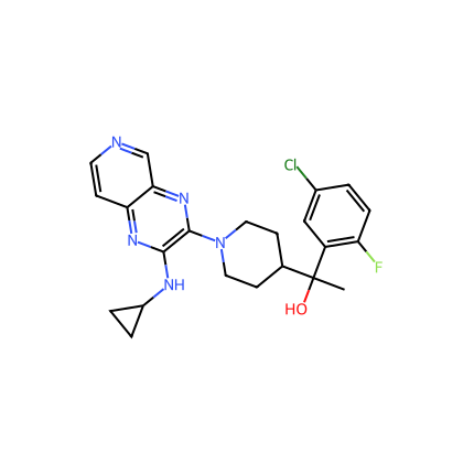 CC(O)(c1cc(Cl)ccc1F)C1CCN(c2nc3cnccc3nc2NC2CC2)CC1